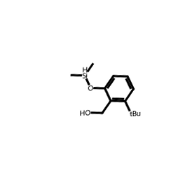 C[SiH](C)Oc1cccc(C(C)(C)C)c1CO